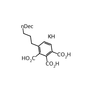 CCCCCCCCCCCCCc1ccc(C(=O)O)c(C(=O)O)c1C(=O)O.[KH]